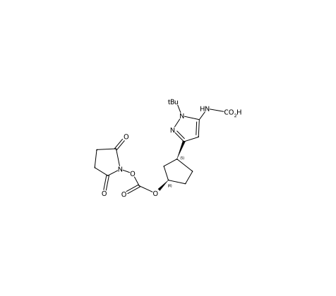 CC(C)(C)n1nc([C@H]2CC[C@@H](OC(=O)ON3C(=O)CCC3=O)C2)cc1NC(=O)O